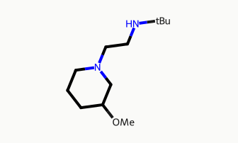 COC1CCCN(CCNC(C)(C)C)C1